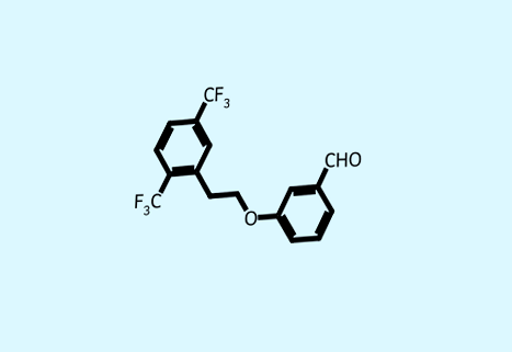 O=Cc1cccc(OCCc2cc(C(F)(F)F)ccc2C(F)(F)F)c1